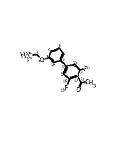 CCOc1cccc(-c2cc(F)c(C(C)=O)c(F)c2)c1